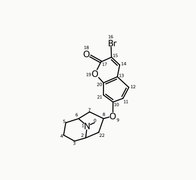 CN1C2CCCC1CC(Oc1ccc3cc(Br)c(=O)oc3c1)C2